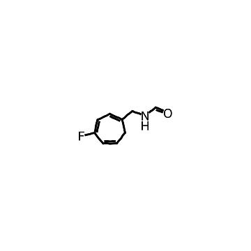 O=CNCC1=CC=C(F)C=CC1